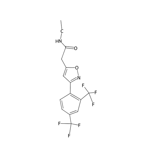 CCNC(=O)Cc1cc(-c2ccc(C(F)(F)F)cc2C(F)(F)F)no1